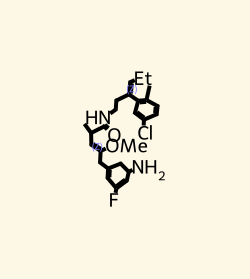 CC/C=C(/CCNC(=O)C(C)/C=C(/CC1=CC(F)=CC(N)C1)OC)c1cc(Cl)ccc1C